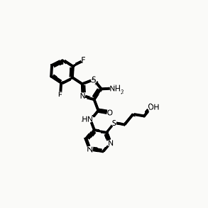 Nc1sc(-c2c(F)cccc2F)nc1C(=O)Nc1cncnc1SCCCO